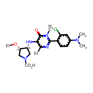 CCO[C@H]1CN(C(=O)O)C[C@H]1Nc1c(CC)nc(-c2ccc(N(C)C)cc2Cl)n(C)c1=O